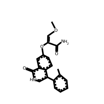 COC=C(Oc1ccc2c(-c3ccccc3C)c[nH]c(=O)c2c1)C(N)=O